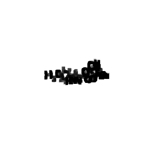 Cc1ccc(-c2cc(C(=O)OC(C)C(=O)NC(C)(C)C)n[nH]2)cc1